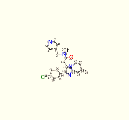 CCN(Cc1ccncc1)C(=O)Cc1c(-c2ccc(Cl)cc2)nc2cc(C)ccn12